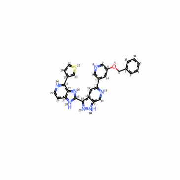 c1ccc(COc2cncc(-c3cc4c(-c5nc6c(-c7ccsc7)nccc6[nH]5)n[nH]c4cn3)c2)cc1